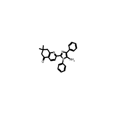 CC1(C)CC(=O)c2ccc(-c3nc(-c4ccccc4)c(N)n3-c3ccccc3)nc2C1